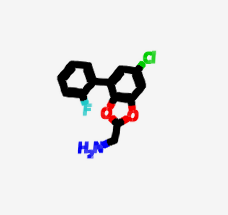 NCC1Oc2cc(Cl)cc(-c3ccccc3F)c2O1